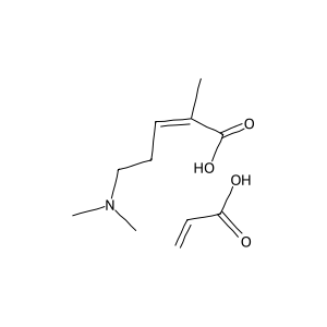 C=CC(=O)O.CC(=CCCN(C)C)C(=O)O